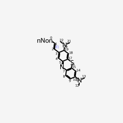 CCCCCCCCC/C=C/C1=CC2=Nc3ccc(N(C)C)cc3SC2=CC1N(C)C